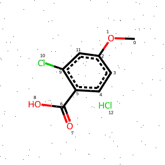 COc1ccc(C(=O)O)c(Cl)c1.Cl